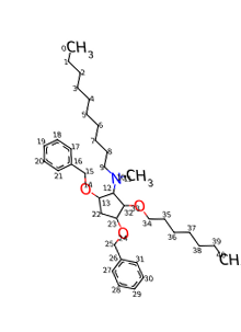 CCCCCCCCCCN(C)C1C(OCc2ccccc2)CC(OCc2ccccc2)C1OCCCCCCC